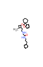 CC1C[C@H](OC(=O)C2(c3ccccc3)CCCCCC2)C1CCNCC(=O)NCCCc1ccccc1